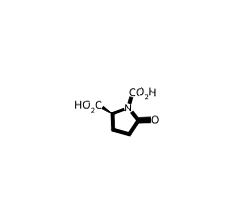 O=C(O)[C@@H]1CCC(=O)N1C(=O)O